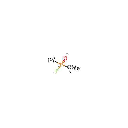 COP(=O)(F)C(C)C